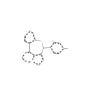 Oc1ccc(C2Nc3ccccc3-c3ncnn4ccc2c34)c(O)c1